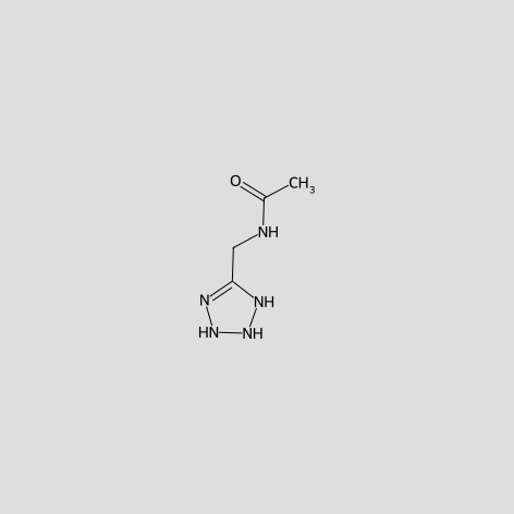 CC(=O)NCC1=NNNN1